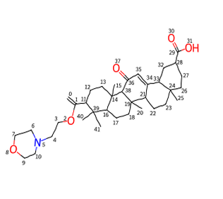 C=C(OCCN1CCOCC1)C1CCC2(C)C(CCC3(C)C4CCC5(C)CCC(C(=O)O)CC5C4=CC(=O)C32)C1(C)C